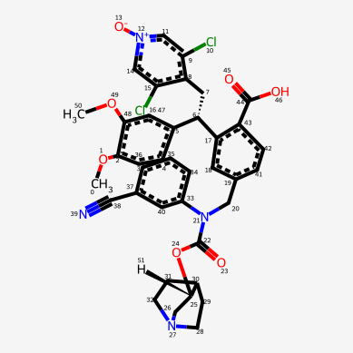 COc1ccc([C@H](Cc2c(Cl)c[n+]([O-])cc2Cl)c2cc(CN(C(=O)O[C@H]3CN4CCC3CC4)c3cccc(C#N)c3)ccc2C(=O)O)cc1OC